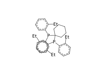 CCc1ccccc1P(c1ccccc1CC)C1(P(c2ccccc2CC)c2ccccc2CC)CCCCC1